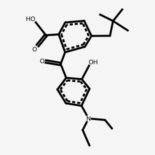 CCN(CC)c1ccc(C(=O)c2cc(CC(C)(C)C)ccc2C(=O)O)c(O)c1